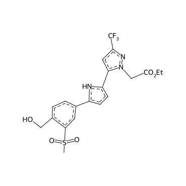 CCOC(=O)Cn1nc(C(F)(F)F)cc1-c1ccc(-c2ccc(CO)c(S(C)(=O)=O)c2)[nH]1